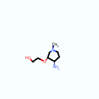 CN1CC[C@@H](N)[C@@H](OCCO)C1